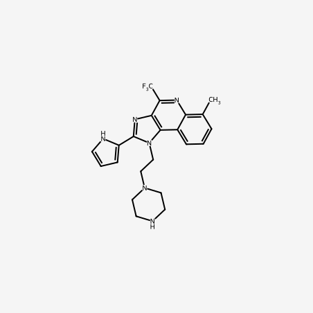 Cc1cccc2c1nc(C(F)(F)F)c1nc(-c3ccc[nH]3)n(CCN3CCNCC3)c12